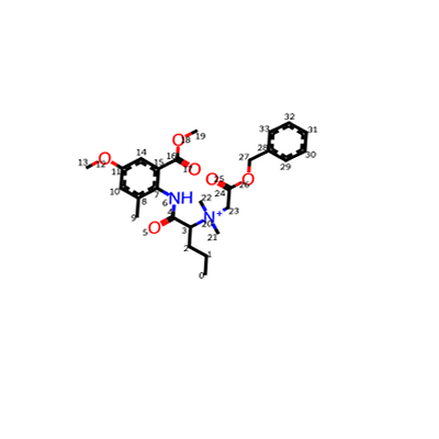 CCCC(C(=O)Nc1c(C)cc(OC)cc1C(=O)OC)[N+](C)(C)CC(=O)OCc1ccccc1